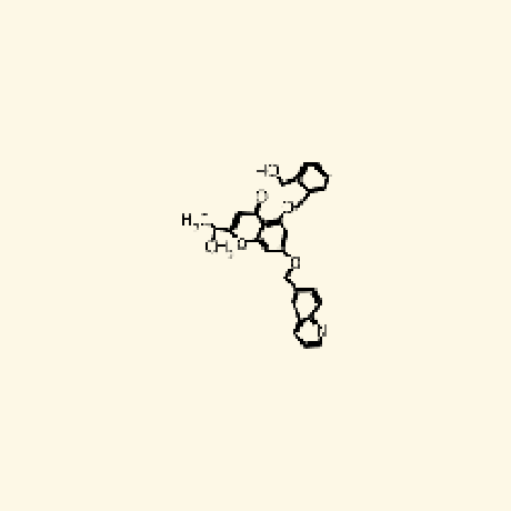 CC(C)c1cc(=O)c2c(OCc3ccccc3CO)cc(OCc3ccc4ncccc4c3)cc2o1